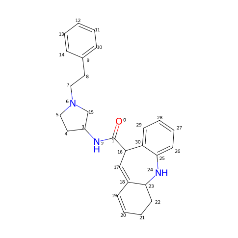 O=C(NC1CCN(CCc2ccccc2)C1)C1C=C2C=CCCC2Nc2ccccc21